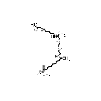 C=C(C)NCCCCCCCC(=C)NCCOCCOCC(=C)NCCCCCOCC(=O)O